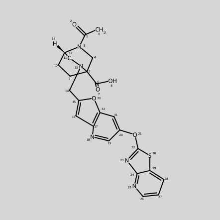 CC(=O)N1CC2(C(=O)O)CC[C@H]1CN2Cc1cc2ncc(Oc3nc4ncccc4s3)cc2o1